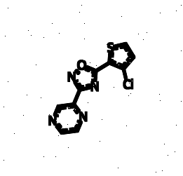 Clc1ccsc1-c1nc(-c2cnccn2)no1